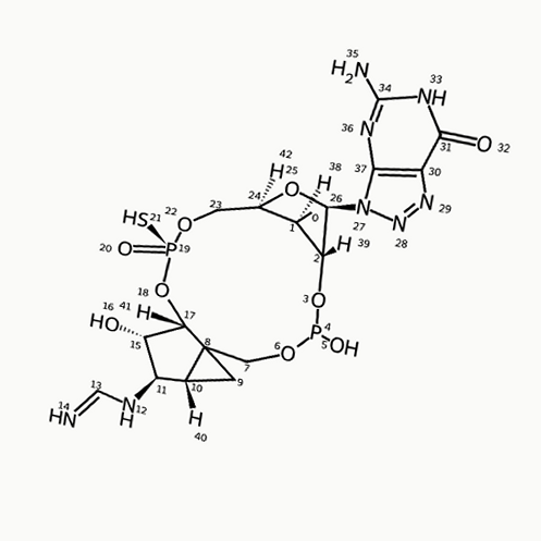 C[C@H]1[C@H]2OP(O)OCC34C[C@@H]3[C@@H](NC=N)[C@H](O)[C@@H]4O[P@@](=O)(S)OC[C@H]1O[C@H]2n1nnc2c(=O)[nH]c(N)nc21